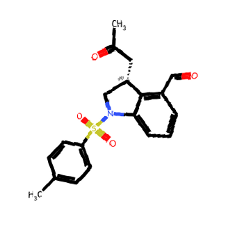 CC(=O)C[C@H]1CN(S(=O)(=O)c2ccc(C)cc2)c2cccc(C=O)c21